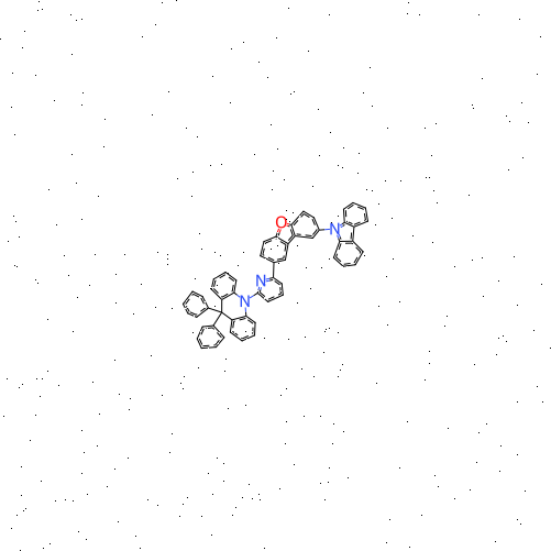 c1ccc(C2(c3ccccc3)c3ccccc3N(c3cccc(-c4ccc5oc6ccc(-n7c8ccccc8c8ccccc87)cc6c5c4)n3)c3ccccc32)cc1